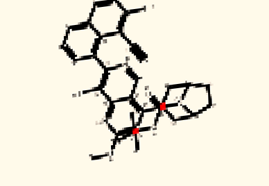 C#Cc1c(F)ccc2cccc(-c3ncc4c(N5CC6CCC(C5)N6C(=O)OC(C)(C)C)nc(OC)nc4c3F)c12